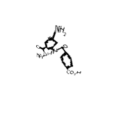 CCCOC(=O)c1ccc(N)cc1NC(=O)c1ccc(C(=O)O)cc1